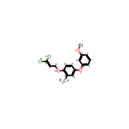 CCOc1cccc(Oc2ccc(OCC=C(Cl)Cl)c(C(F)(F)F)c2)c1